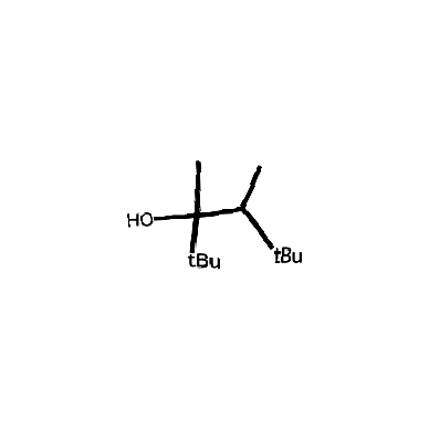 CC(C(C)(C)C)C(C)(O)C(C)(C)C